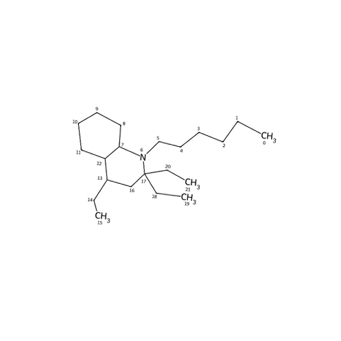 CCCCCCN1C2CCCCC2C(CC)CC1(CC)CC